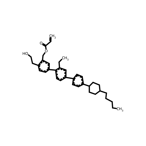 C=CC(=O)OCc1cc(-c2ccc(-c3ccc(C4CCC(CCCCC)CC4)cc3)cc2CC)ccc1CCO